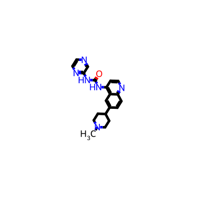 CN1CCC(c2ccc3nccc(NC(=O)Nc4cnccn4)c3c2)CC1